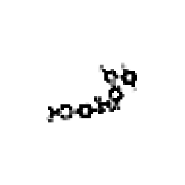 CC(=O)N1CCN(c2ccc(NC(=O)c3nnc4cnc(N5C[C@@H](F)C[C@@H]5c5cc(F)ccc5F)cn34)cc2)CC1